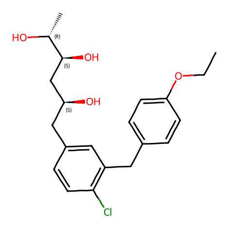 CCOc1ccc(Cc2cc(C[C@H](O)C[C@H](O)[C@@H](C)O)ccc2Cl)cc1